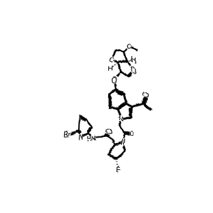 COC1CO[C@H]2[C@@H]1OC[C@H]2Oc1ccc2c(c1)c(C(C)=O)cn2CC(=O)N1C[C@H](F)C[C@H]1C(=O)Nc1cccc(Br)n1